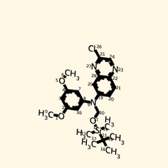 COc1cc(OC)cc(N(CO[Si](C)(C)C(C)(C)C)c2ccc3ncc(Cl)nc3c2)c1